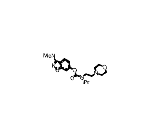 CNc1noc2cc(OC(=O)N(CCN3CCOCC3)C(C)C)ccc12